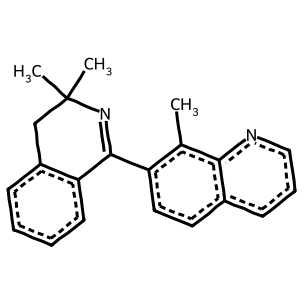 Cc1c(C2=NC(C)(C)Cc3ccccc32)ccc2cccnc12